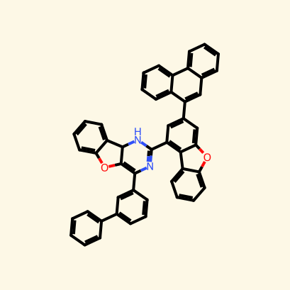 c1ccc(-c2cccc(C3=C4Oc5ccccc5C4NC(c4cc(-c5cc6ccccc6c6ccccc56)cc5oc6ccccc6c45)=N3)c2)cc1